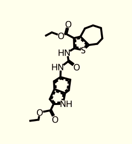 CCOC(=O)c1cc2cc(NC(=O)Nc3sc4c(c3C(=O)OCC)CCCCC4)ccc2[nH]1